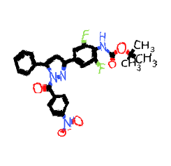 CC(C)(C)OC(=O)Nc1c(F)cc(C2=NN(C(=O)c3ccc([N+](=O)[O-])cc3)C(c3ccccc3)C2)cc1F